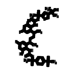 CC(C)c1cc(F)cc(C(C)CCC(C)c2cc(F)cc(C(C)C)c2NC(=O)N=S(N)(=O)c2cc(C(C)(C)O)cs2)c1NC(=O)N=S(N)(=O)c1ccc(S(C)(=O)=O)cc1